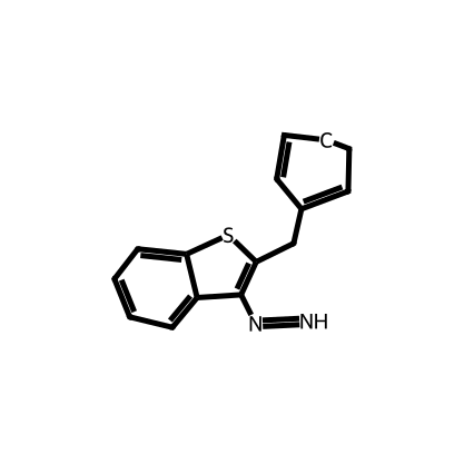 N=Nc1c(CC2=CCCC=C2)sc2ccccc12